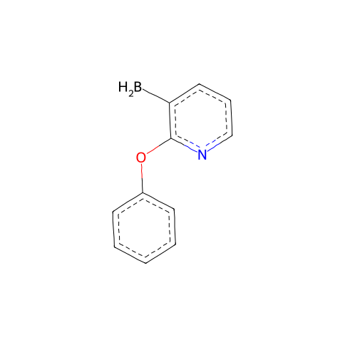 Bc1cccnc1Oc1ccccc1